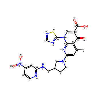 Cc1cc(N2CCC(CNc3cc([N+](=O)[O-])ccn3)C2)nc2c1c(=O)c(C(=O)O)cn2-c1ncns1